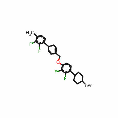 CCCC1CCC(c2ccc(OCC3=CCC(c4ccc(C)c(F)c4F)C=C3)c(F)c2F)CC1